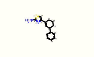 Nc1nc(C2=CC(c3ccccc3)CCC2)cs1